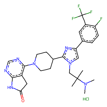 CN(C)C(C)(C)Cn1cc(-c2ccc(F)c(C(F)(F)F)c2)nc1C1CCN(c2ncnc3c2CC(=O)N3)CC1.Cl